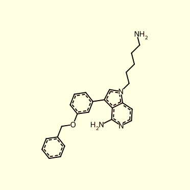 NCCCCCn1cc(-c2cccc(OCc3ccccc3)c2)c2c(N)nccc21